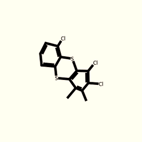 Cc1c(C)c2c(c(Cl)c1Cl)Sc1c(Cl)cccc1S2